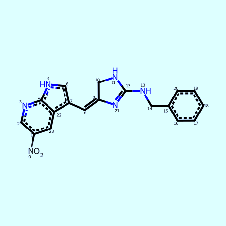 O=[N+]([O-])c1cnc2[nH]cc(C=C3CNC(NCc4ccccc4)=N3)c2c1